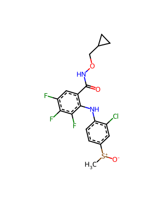 C[S+]([O-])c1ccc(Nc2c(C(=O)NOCC3CC3)cc(F)c(F)c2F)c(Cl)c1